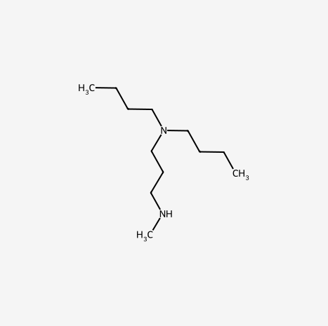 CCCCN(CCCC)CCCNC